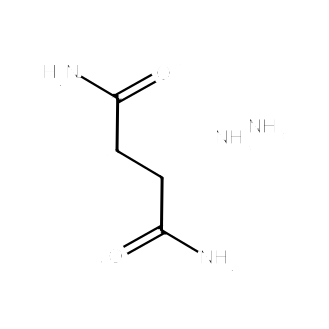 N.N.NC(=O)CCC(N)=O